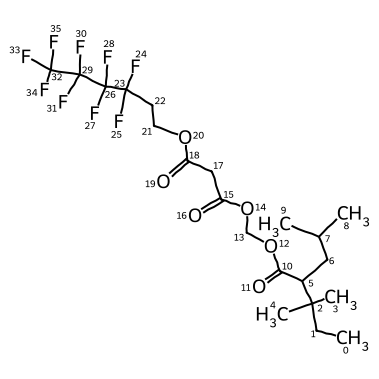 CCC(C)(C)C(CC(C)C)C(=O)OCOC(=O)CC(=O)OCCC(F)(F)C(F)(F)C(F)(F)C(F)(F)F